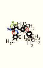 Cc1ccc(Cn2c(-c3ccc(Oc4ccc(C(C)(C)C)cc4)c(C(C)C)c3)cc(C(F)(F)F)c(C#N)c2=O)c(C)c1